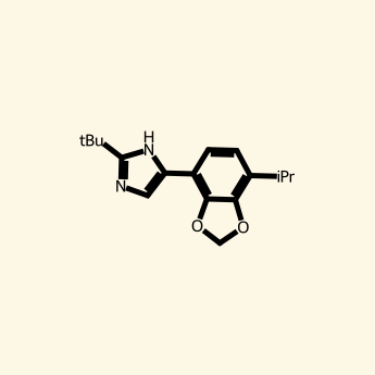 CC(C)c1ccc(-c2cnc(C(C)(C)C)[nH]2)c2c1OCO2